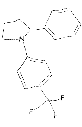 FC(F)(F)c1ccc(N2CCCC2c2ccccc2)cc1